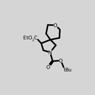 CCOC(=O)C1CN(C(=O)OC(C)(C)C)CC12CCOCC2